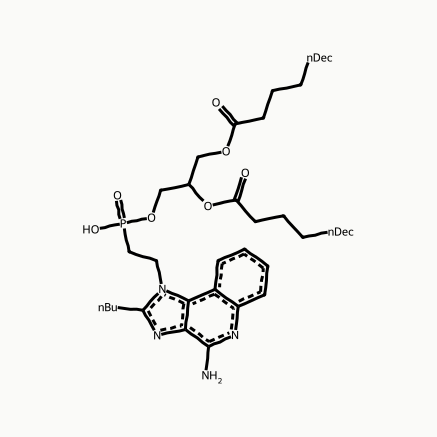 CCCCCCCCCCCCCC(=O)OCC(COP(=O)(O)CCn1c(CCCC)nc2c(N)nc3ccccc3c21)OC(=O)CCCCCCCCCCCCC